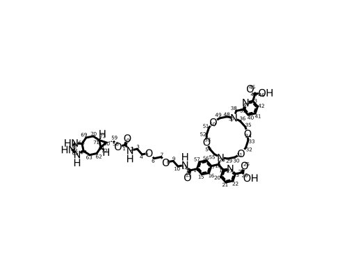 O=C(NCCOCCOCCNC(=O)c1ccc(C(c2cccc(C(=O)O)n2)N2CCOCCOCCN(Cc3cccc(C(=O)O)n3)CCOCCOCC2)cc1)OC[C@@H]1[C@@H]2CCC3NNNC3CC[C@@H]21